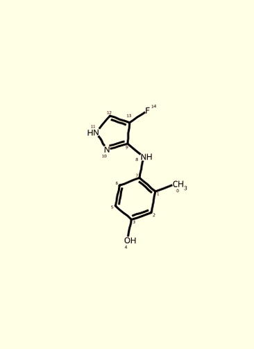 Cc1cc(O)ccc1Nc1n[nH]cc1F